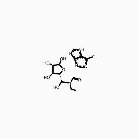 CCN(C=O)C(O)[C@H]1OC(O)[C@H](O)[C@@H]1O.Clc1ncnc2nc[nH]c12